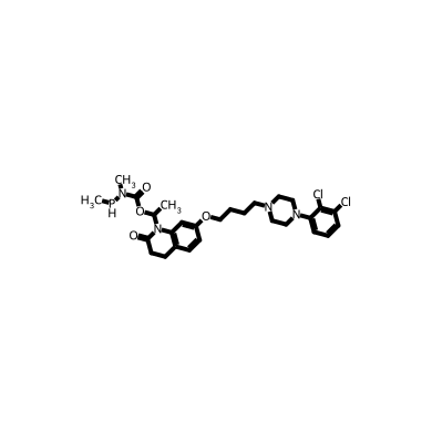 CPN(C)C(=O)OC(C)N1C(=O)CCc2ccc(OCCCCN3CCN(c4cccc(Cl)c4Cl)CC3)cc21